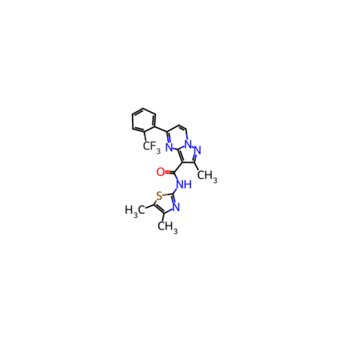 Cc1nc(NC(=O)c2c(C)nn3ccc(-c4ccccc4C(F)(F)F)nc23)sc1C